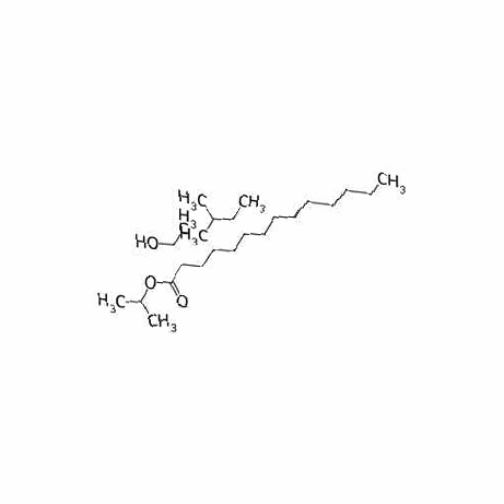 CCC(C)C.CCCCCCCCCCCCCC(=O)OC(C)C.CCO